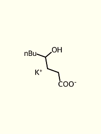 CCCCC(O)CCC(=O)[O-].[K+]